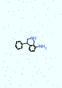 Nc1cccc2c1CNCC2c1ccccc1